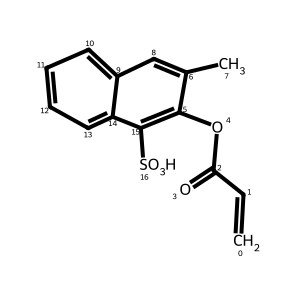 C=CC(=O)Oc1c(C)cc2ccccc2c1S(=O)(=O)O